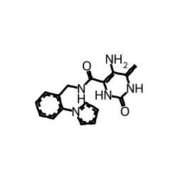 C=C1NC(=O)NC(C(=O)NCc2ccccc2-n2cccc2)=C1N